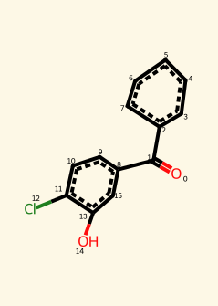 O=C(c1ccccc1)c1ccc(Cl)c(O)c1